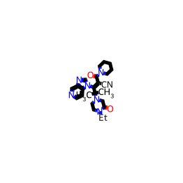 CCN1CCN(C(C)(C)C(=C(C#N)C(=O)N2CCCCC2)n2cnc3cnccc32)CC1=O